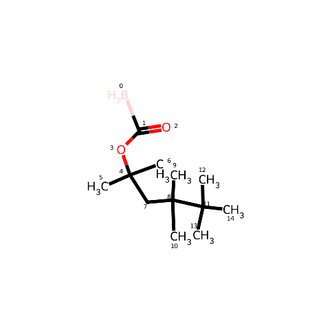 BC(=O)OC(C)(C)CC(C)(C)C(C)(C)C